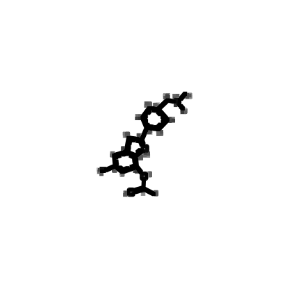 CC(=O)Oc1cc(F)cc2cc(-c3ccc(CN(C)C)cc3)oc12